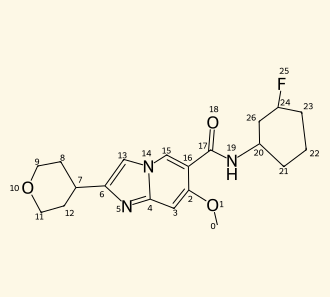 COc1cc2nc(C3CCOCC3)cn2cc1C(=O)NC1CCCC(F)C1